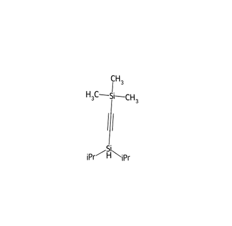 CC(C)[SiH](C#C[Si](C)(C)C)C(C)C